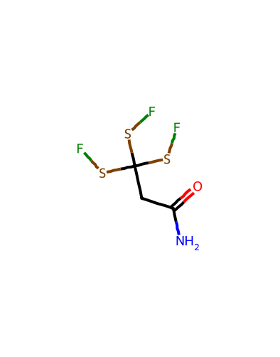 NC(=O)CC(SF)(SF)SF